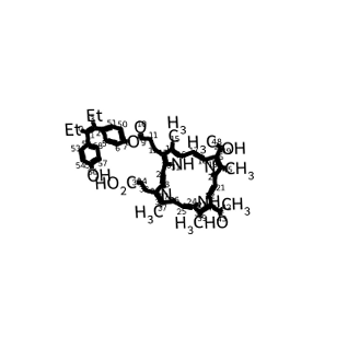 CCC(=C(CC)c1ccc(OC(=O)CCc2c(C)c3cc4nc(cc5[nH]c(cc6nc(cc2[nH]3)C(CCC(=O)O)=C6C)c(C)c5C(C)O)C(C)=C4C(C)O)cc1)c1ccc(O)cc1